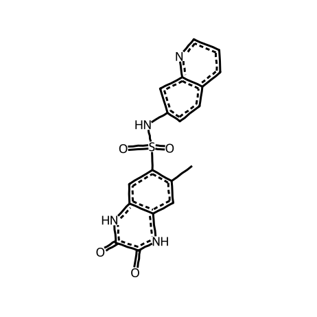 Cc1cc2[nH]c(=O)c(=O)[nH]c2cc1S(=O)(=O)Nc1ccc2cccnc2c1